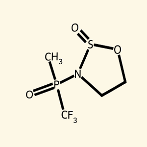 CP(=O)(N1CCOS1=O)C(F)(F)F